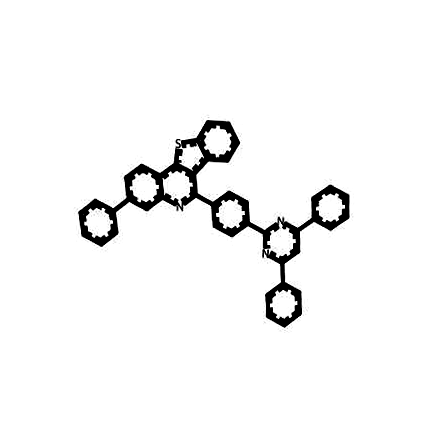 c1ccc(-c2ccc3c(c2)nc(-c2ccc(-c4nc(-c5ccccc5)cc(-c5ccccc5)n4)cc2)c2c4ccccc4sc32)cc1